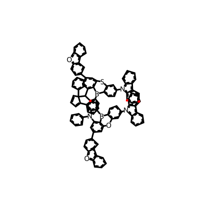 C1=CC(c2ccccc2)(C2c3cc4c(cc3B3c5ccc(-n6c7ccccc7c7ccccc76)cc5Sc5cc(-c6ccc7oc8ccccc8c7c6)cc2c53)B2c3ccc(-n5c6ccccc6c6ccccc65)cc3Oc3cc(-c5ccc6oc7ccccc7c6c5)cc(c32)N4c2ccccc2)C(c2ccccc2)=C1